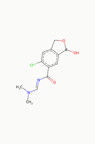 CN(C)C=NC(=O)c1cc2c(cc1Cl)COB2O